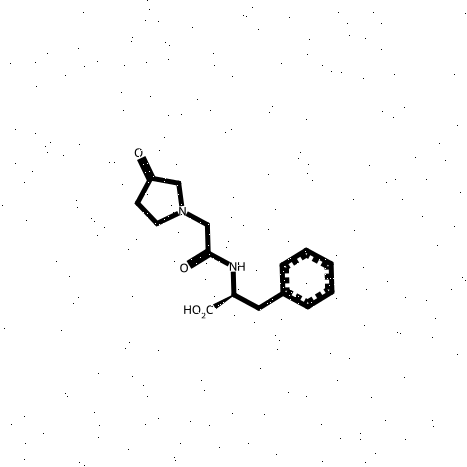 O=C1CCN(CC(=O)N[C@@H](Cc2ccccc2)C(=O)O)C1